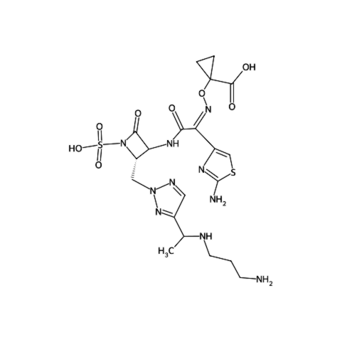 CC(NCCCN)c1cnn(C[C@H]2C(NC(=O)/C(=N\OC3(C(=O)O)CC3)c3csc(N)n3)C(=O)N2S(=O)(=O)O)n1